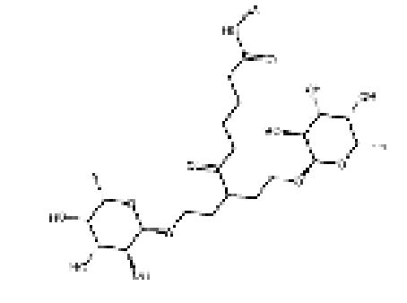 CCNC(=O)CCCCC(=O)N(CCO[C@@H]1O[C@@H](C)[C@@H](O)[C@@H](O)[C@@H]1O)CCO[C@@H]1O[C@@H](C)[C@@H](O)[C@@H](O)[C@@H]1O